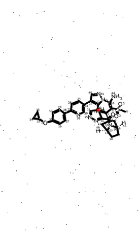 CS(=O)(=O)c1c([C@H]2C[C@H]3CC[C@@H](C2)N3C(=O)c2nnc[nH]2)nc2c(-c3ccc(-c4ccc(OC5CC5)cc4)nc3)cnn2c1N